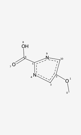 COc1cnc(C(=O)O)nc1